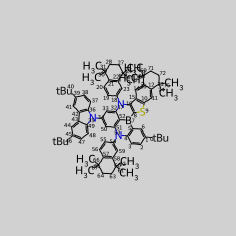 CC(C)(C)c1ccc2c(c1)B1c3sc4cc5c(cc4c3N(c3ccc4c(c3)C(C)(C)CCC4(C)C)c3cc(-n4c6ccc(C(C)(C)C)cc6c6cc(C(C)(C)C)ccc64)cc(c31)N2c1ccc2c(c1)C(C)(C)CCC2(C)C)C(C)(C)CCC5(C)C